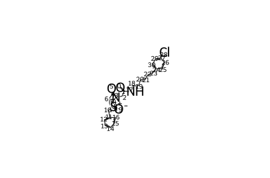 O=C(CN1C(=O)C[C@H]1[S@+]([O-])Cc1ccccc1)NCCCCCCc1ccc(Cl)cc1